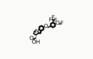 O=C(O)C[C@@H]1CCn2c1cc1cc(OCc3ccc(OCF)c(C(F)(F)F)c3)ccc12